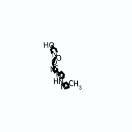 Cc1ccnc(Nc2cccc(-c3cnc(COCC(=O)N4CCC(O)CC4)s3)n2)c1